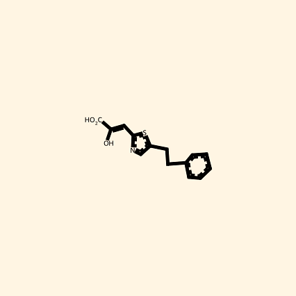 O=C(O)/C(O)=C/c1ncc(CCc2ccccc2)s1